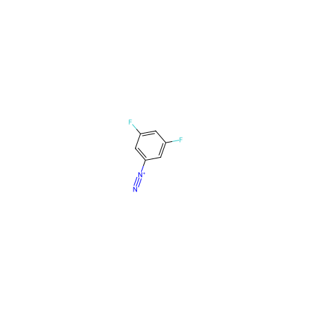 N#[N+]c1cc(F)cc(F)c1